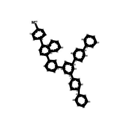 N#Cc1ccc(-c2ccc(-c3cccc(-c4cc(-c5ccc(-c6ccccc6)cc5)cc(-c5ccc(-c6ccccc6)cc5)c4)c3)c3ccccc23)cc1